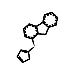 C1=CC[C]([Zr][c]2cccc3c2Cc2ccccc2-3)=C1